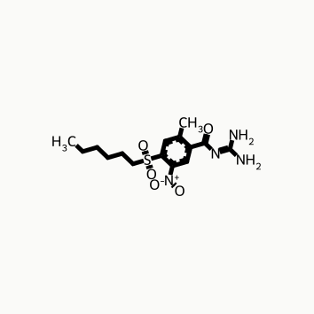 CCCCCCS(=O)(=O)c1cc(C)c(C(=O)N=C(N)N)cc1[N+](=O)[O-]